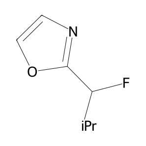 CC(C)C(F)c1ncco1